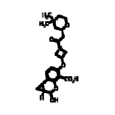 C[N+]1(C)CCO[C@@H](CC(=O)N2CC(Oc3ccc4c(c3C(=O)O)OB(O)[C@@H]3CC43)C2)C1